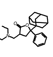 CCN(CC)CC1CC(c2ccccc2)(C23CC4CC(CC(C4)C2)C3)OC1=O